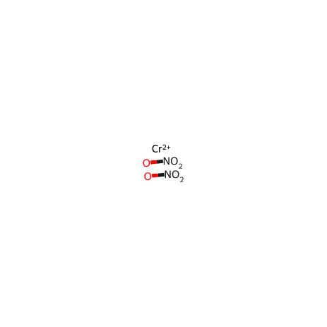 O=[N+]([O-])[O-].O=[N+]([O-])[O-].[Cr+2]